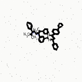 C=C(C1=CC=CCC1)/C(=C\C=C(/C(=C)C)c1ccccc1)c1cccc(C2N=C(c3ccccc3)C=C(C3=CC=C(c4ccccc4)CC3)N2)c1